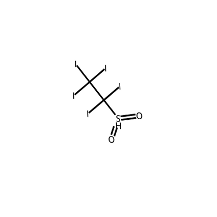 O=[SH](=O)C(I)(I)C(I)(I)I